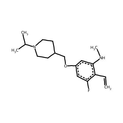 C=Cc1c(F)cc(OCC2CCN(C(C)C)CC2)cc1NC